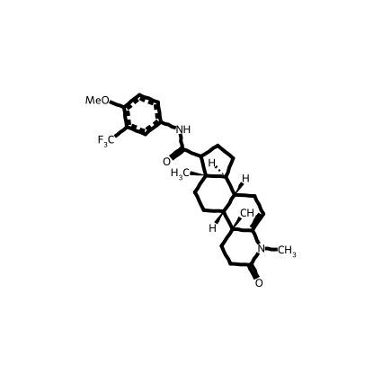 COc1ccc(NC(=O)C2CC[C@H]3[C@@H]4CC=C5N(C)C(=O)CC[C@]5(C)[C@@H]4CC[C@]23C)cc1C(F)(F)F